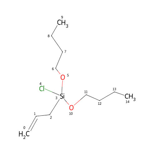 C=CC[Si](Cl)(OCCCC)OCCCC